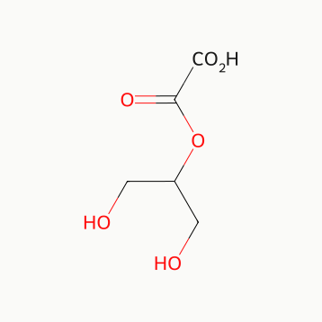 O=C(O)C(=O)OC(CO)CO